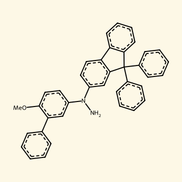 COc1ccc(N(N)c2ccc3c(c2)C(c2ccccc2)(c2ccccc2)c2ccccc2-3)cc1-c1ccccc1